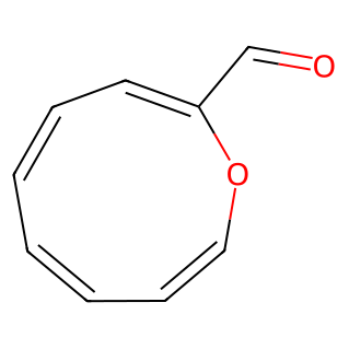 O=Cc1ccccccco1